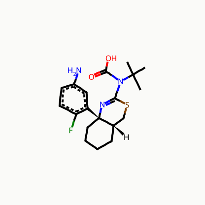 CC(C)(C)N(C(=O)O)C1=N[C@@]2(c3cc(N)ccc3F)CCCC[C@H]2CS1